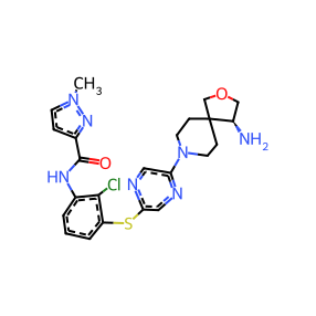 Cn1ccc(C(=O)Nc2cccc(Sc3cnc(N4CCC5(CC4)COC[C@H]5N)cn3)c2Cl)n1